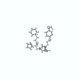 Cc1ccc(OCCn2cc[n+](CC(OCCc3ccccc3)c3cccs3)c2)cc1.[Br-]